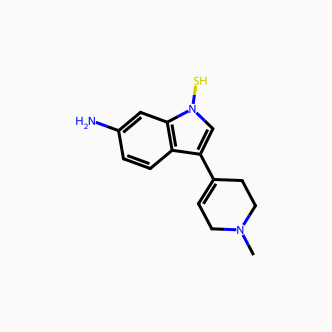 CN1CC=C(c2cn(S)c3cc(N)ccc23)CC1